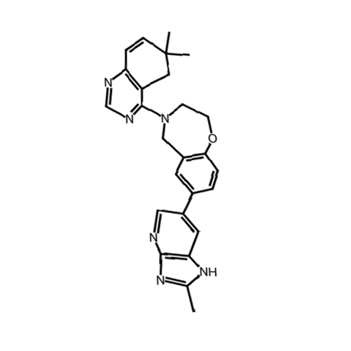 Cc1nc2ncc(-c3ccc4c(c3)CN(c3ncnc5c3CC(C)(C)C=C5)CCO4)cc2[nH]1